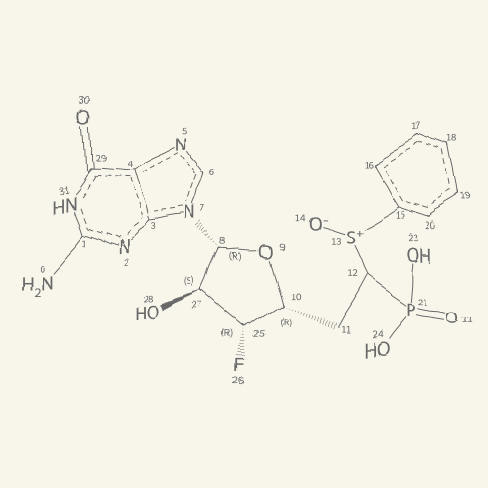 Nc1nc2c(ncn2[C@@H]2O[C@H](CC([S+]([O-])c3ccccc3)P(=O)(O)O)[C@H](F)[C@H]2O)c(=O)[nH]1